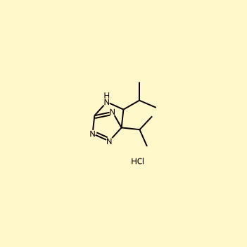 CC(C)C1NC2=NC1(C(C)C)N=N2.Cl